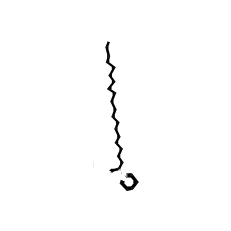 CCCCCCCCCCCCCCCCCCCC(C(=O)O)[n+]1ccccc1